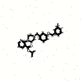 CC(C)OC(=O)c1cccnc1N1CCN(Cc2cccc(OCc3cccc(F)c3)c2)CC1